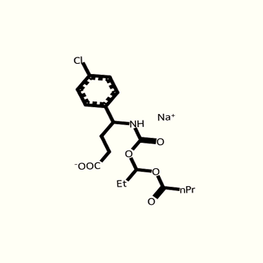 CCCC(=O)OC(CC)OC(=O)NC(CCC(=O)[O-])c1ccc(Cl)cc1.[Na+]